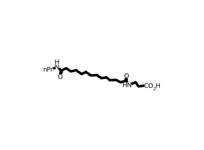 CCCNC(=O)CCCCCCCCCCCCC(=O)NCCC(=O)O